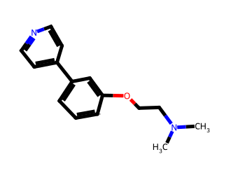 CN(C)CCOc1[c]ccc(-c2ccncc2)c1